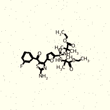 CCOC(=O)C(C)(C)NP(=O)(NC(C)(C)C(=O)OCC)c1ccc(-c2nc(N)sc2C(=O)c2cccc(F)c2)o1